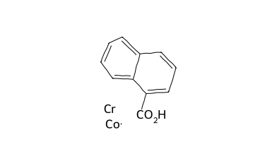 O=C(O)c1cccc2ccccc12.[Co].[Cr]